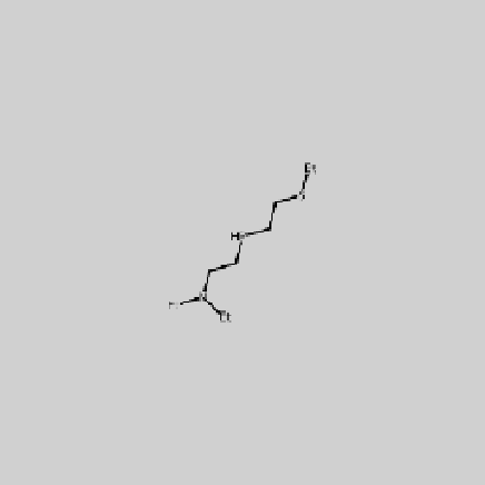 CCSCCPCCN(CC)CC